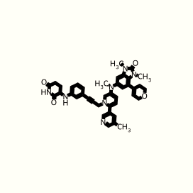 Cc1cncc(C2=CC=C(N(C)c3cc(C4=CCOCC4)c4c(c3)n(C)c(=O)n4C)CN2CC#Cc2cccc(NC3CCC(=O)NC3=O)c2)c1